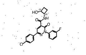 O=C(N[C@@H]1CC[C@@H]1O)c1cc(-c2ccc(Cl)cc2)nn(-c2cccc(F)c2)c1=O